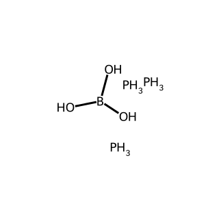 OB(O)O.P.P.P